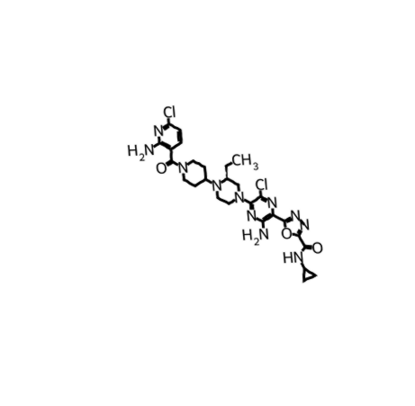 CC[C@H]1CN(c2nc(N)c(-c3nnc(C(=O)NC4CC4)o3)nc2Cl)CCN1C1CCN(C(=O)c2ccc(Cl)nc2N)CC1